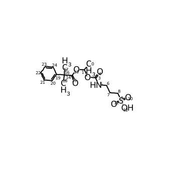 CC(OC(=O)NCCCS(=O)(=O)O)OC(=O)C(C)(C)c1ccccc1